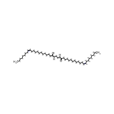 CCCCCCCC/C=C\CCCCCCCCCCCC(=O)NCCNC(=O)CCCCCCCCCCC/C=C\CCCCCCCC